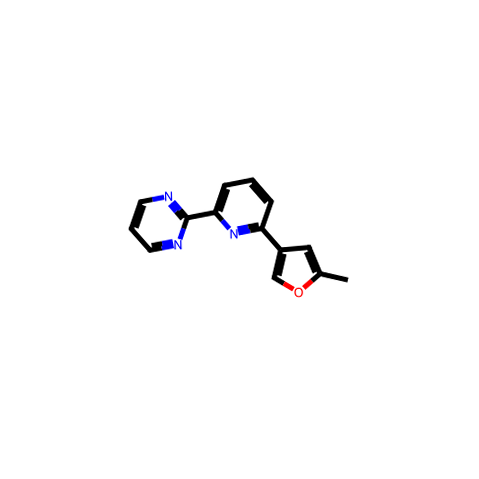 Cc1cc(-c2cccc(-c3ncccn3)n2)co1